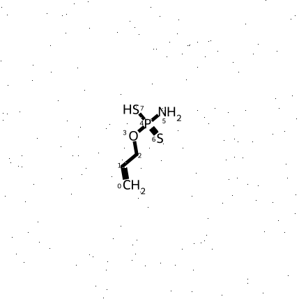 C=CCOP(N)(=S)S